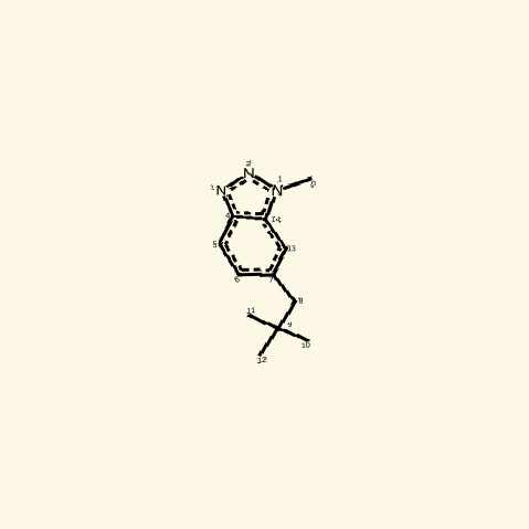 Cn1nnc2ccc(CC(C)(C)C)cc21